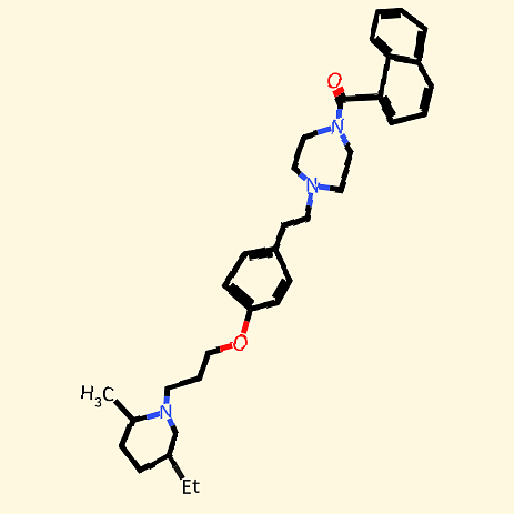 CCC1CCC(C)N(CCCOc2ccc(CCN3CCN(C(=O)c4cccc5ccccc45)CC3)cc2)C1